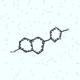 CC(C)c1ccc2cc(-c3cnc(C(C)C)nc3)ccc2c1